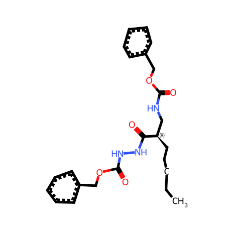 CCCCC[C@H](CNC(=O)OCc1ccccc1)C(=O)NNC(=O)OCc1ccccc1